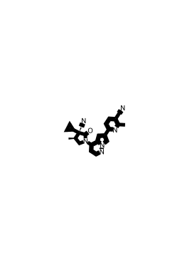 Cc1nc(-c2cc3c(N4C[C@@H](C)[C@@](C#N)(C5CC5)C4=O)ccnn3c2)ccc1C#N